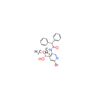 COC(O)c1cc(Br)ncc1N(C)C(=O)C(c1ccccc1)c1ccccc1